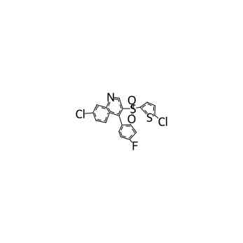 O=S(=O)(c1ccc(Cl)s1)c1cnc2cc(Cl)ccc2c1-c1ccc(F)cc1